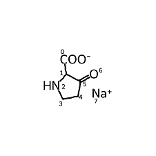 O=C([O-])C1NCCC1=O.[Na+]